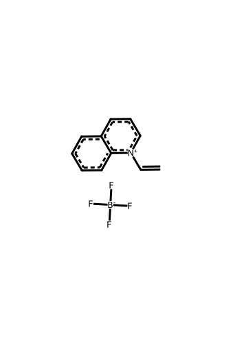 C=C[n+]1cccc2ccccc21.F[B-](F)(F)F